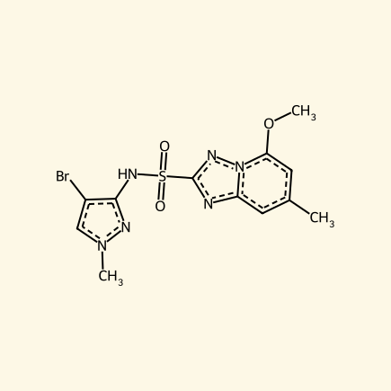 COc1cc(C)cc2nc(S(=O)(=O)Nc3nn(C)cc3Br)nn12